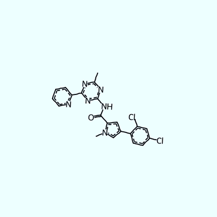 Cc1nc(NC(=O)c2cc(-c3ccc(Cl)cc3Cl)cn2C)nc(-c2ccccn2)n1